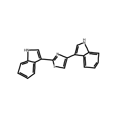 c1ccc2c(-c3csc(-c4c[nH]c5ccccc45)n3)c[nH]c2c1